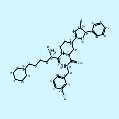 C[C@@H]1N=C(N2CCN(C(=O)[C@H](N)CCCCN3CCCCC3)[C@H](C(=O)NCc3cccc(Cl)c3)C2)OC1c1ccccc1